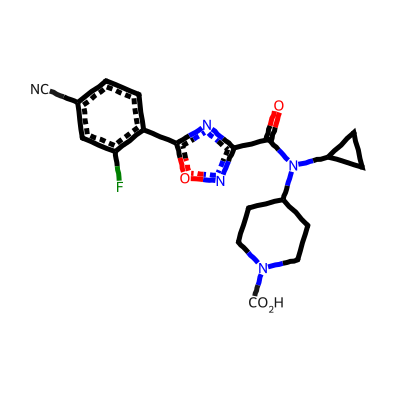 N#Cc1ccc(-c2nc(C(=O)N(C3CC3)C3CCN(C(=O)O)CC3)no2)c(F)c1